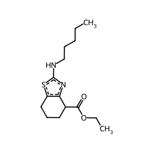 CCCCCNc1nc2c(s1)CCCC2C(=O)OCC